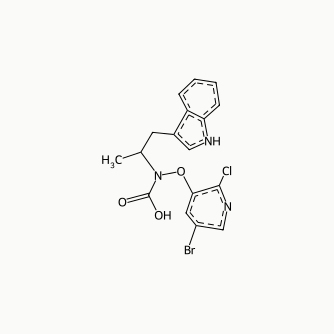 CC(Cc1c[nH]c2ccccc12)N(Oc1cc(Br)cnc1Cl)C(=O)O